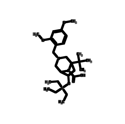 CC[Si](CC)(CC)OC1CC2(C(C)(C)C)CN(Cc3ccc(OC)cc3OC)CC1N2C(=O)O